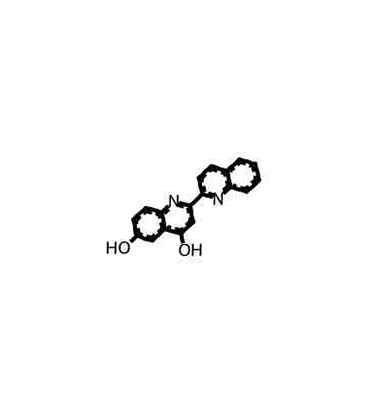 Oc1ccc2nc(-c3ccc4ccccc4n3)cc(O)c2c1